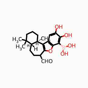 CC1(C)CCC[C@@]2(C)c3c(oc4c(B(O)O)c(O)c(O)cc34)C(C=O)CC[C@H]12